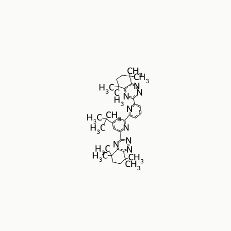 CC(C)(C)c1cc(-c2cccc(-c3nnc4c(n3)C(C)(C)CCC4(C)C)n2)nc(-c2nnc3c(n2)C(C)(C)CCC3(C)C)c1